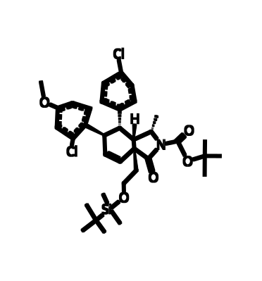 COc1ccc([C@@H]2C=C[C@@]3(CCO[Si](C)(C)C(C)(C)C)C(=O)N(C(=O)OC(C)(C)C)[C@@H](C)[C@H]3[C@H]2c2ccc(Cl)cc2)c(Cl)c1